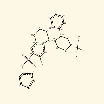 O=S(=O)(Nc1ccncn1)c1cc2c(cc1F)[C@@H](N1CC[C@@H](C(F)(F)F)C[C@H]1c1ccccn1)CCO2